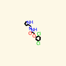 O=C(COc1cc(Cl)ccc1Cl)N/N=C/c1ccc[nH]1